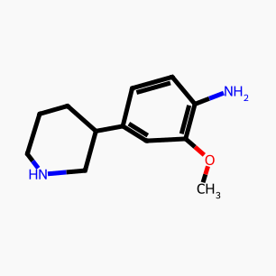 COc1cc(C2CCCNC2)ccc1N